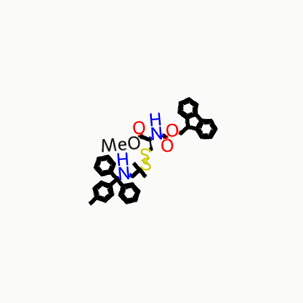 COC(=O)[C@H](CSSC(C)(C)CNC(c1ccccc1)(c1ccccc1)c1ccc(C)cc1)NC(=O)OCC1c2ccccc2-c2ccccc21